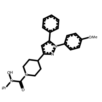 COc1ccc(-n2nc(C3CCN(C(=O)N(O)C(C)C)CC3)cc2-c2ccccc2)cc1